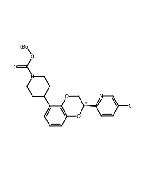 CC(C)(C)OC(=O)N1CCC(c2cccc3c2OC[C@@H](c2ccc(Cl)cn2)O3)CC1